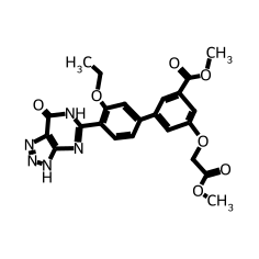 CCOc1cc(-c2cc(OCC(=O)OC)cc(C(=O)OC)c2)ccc1-c1nc2[nH]nnc2c(=O)[nH]1